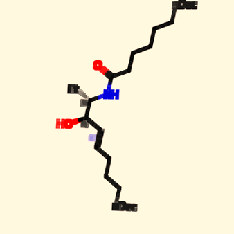 CCCCCCCCCCCCC/C=C/[C@@H](O)[C@H](CC)NC(=O)CCCCCCCCCCCCCCC